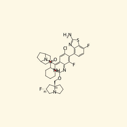 Nc1nc2c(-c3c(Cl)cc4c(N5CC6CCC(C5)N6C(=O)C5CCCCN5)nc(OC[C@@]56CCCN5C[C@H](F)C6)nc4c3F)ccc(F)c2s1